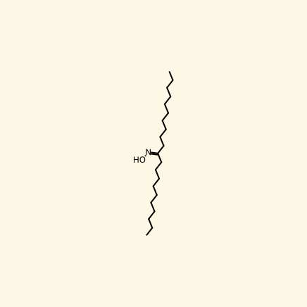 CCCCCCCCCCC(CCCCCCCCCC)=NO